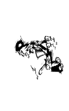 CC(C)CNC(=O)C(=C[C@@H]1OC(C)(C)N(C(=O)OCc2ccccc2)[C@H]1CC(C)C)CCOC1CCCCO1